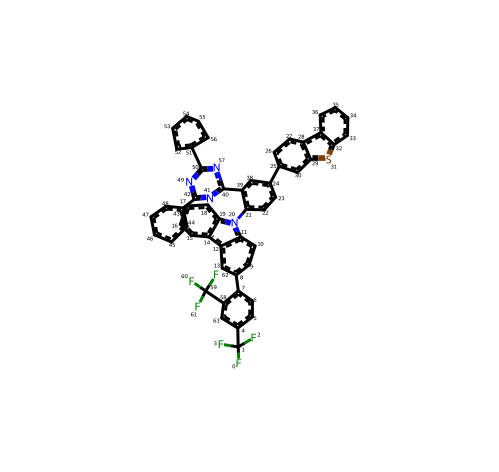 FC(F)(F)c1ccc(-c2ccc3c(c2)c2ccccc2n3-c2ccc(-c3ccc4c(c3)sc3ccccc34)cc2-c2nc(-c3ccccc3)nc(-c3ccccc3)n2)c(C(F)(F)F)c1